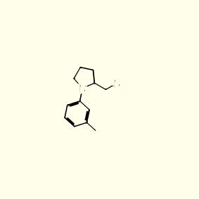 Cc1cccc(N2CCCC2CN)c1